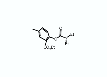 CCOC(=O)c1cc(C)ccc1OC(=O)N(CC)CC